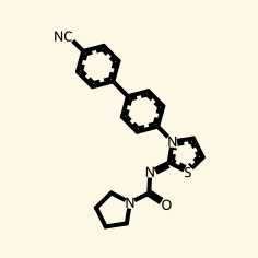 N#Cc1ccc(-c2ccc(-n3ccsc3=NC(=O)N3CCCC3)cc2)cc1